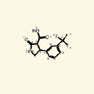 O=C(O)C1C(=O)NCC1c1cccc(C(F)(F)F)c1